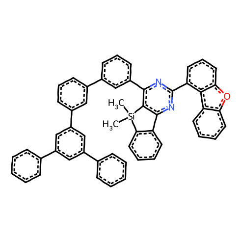 C[Si]1(C)c2ccccc2-c2nc(-c3cccc4oc5ccccc5c34)nc(-c3cccc(-c4cccc(-c5cc(-c6ccccc6)cc(-c6ccccc6)c5)c4)c3)c21